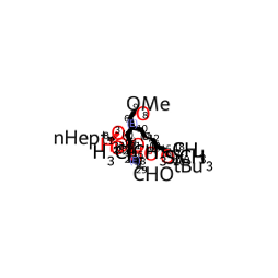 CCCCCCCC(=O)O[C@H]1/C(=C/C(=O)OC)C[C@@H](C[C@@H](O)CO[Si](C)(C)C(C)(C)C)O[C@@]1(O)C(C)(C)/C=C/C=O